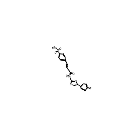 CCCCS(=O)(=O)c1ccc(/C=C/C(=O)NC2=NC(c3ccc(F)cc3)CS2)cc1